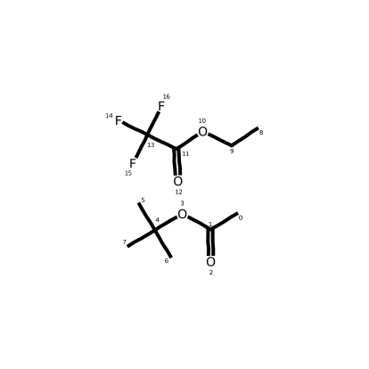 CC(=O)OC(C)(C)C.CCOC(=O)C(F)(F)F